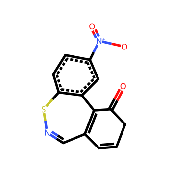 O=C1CC=CC2=C1c1cc([N+](=O)[O-])ccc1SN=C2